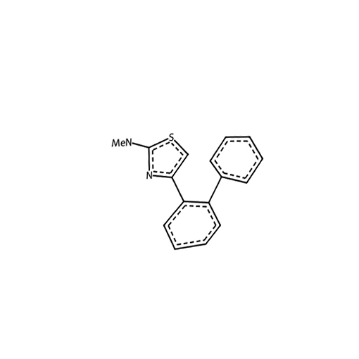 CNc1nc(-c2ccccc2-c2ccccc2)cs1